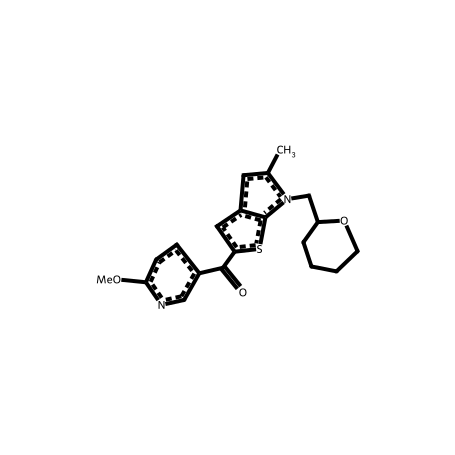 COc1ccc(C(=O)c2cc3cc(C)n(CC4CCCCO4)c3s2)cn1